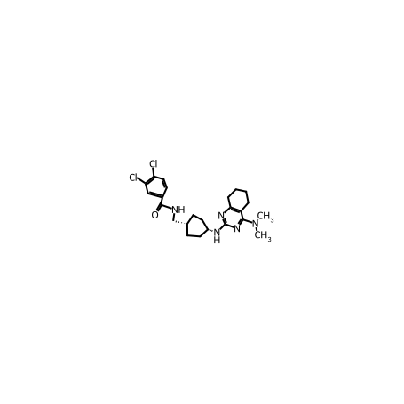 CN(C)c1nc(N[C@H]2CC[C@@H](CNC(=O)c3ccc(Cl)c(Cl)c3)CC2)nc2c1CCCC2